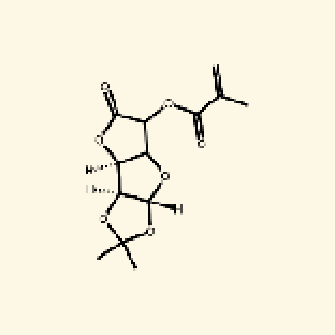 C=C(C)C(=O)OC1C(=O)O[C@H]2C1O[C@@H]1OC(C)(C)O[C@H]12